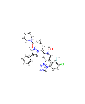 O=C([C@@H]1C[C@@H]1CC(c1ccc(-c2c(-n3cnnn3)ccc(Cl)c2F)c[n+]1O)n1cc(-c2ccccc2)cn1)N1CCCCC1